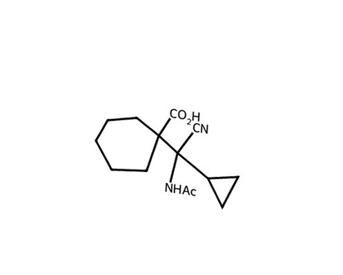 CC(=O)NC(C#N)(C1CC1)C1(C(=O)O)CCCCC1